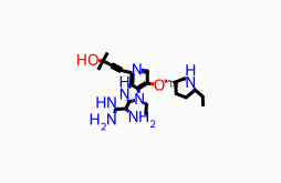 CCC1CC[C@H](COc2cnc(C#CC(C)(C)O)c3c2N(CC)C(C(N)C(=N)N)N3)CN1